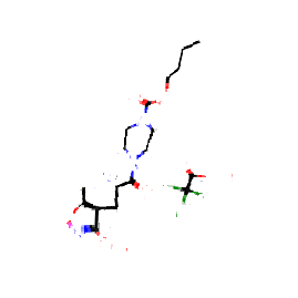 CCCCOC(=O)N1CCN(C(=O)[C@@H](N)Cc2c(O)noc2C)CC1.O=C(O)C(F)(F)F